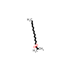 C=C(C)C(=O)OCCCCCCCCCCCC=CCC